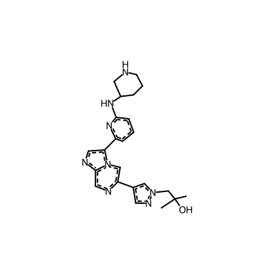 CC(C)(O)Cn1cc(-c2cn3c(-c4cccc(NC5CCCNC5)n4)cnc3cn2)cn1